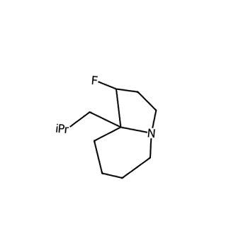 CC(C)CC12CCCCN1CCC2F